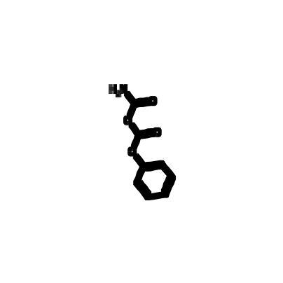 NC(=O)OC(=O)Oc1ccccc1